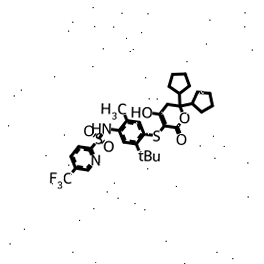 Cc1cc(SC2=C(O)CC(C3CCCC3)(C3CCCC3)OC2=O)c(C(C)(C)C)cc1NS(=O)(=O)c1ccc(C(F)(F)F)cn1